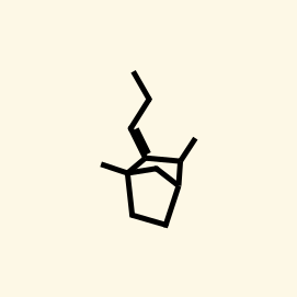 CCC=C1C(C)C2CCC1(C)C2